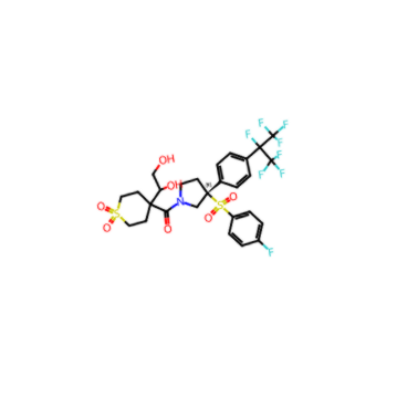 O=C(N1CC[C@](c2ccc(C(F)(C(F)(F)F)C(F)(F)F)cc2)(S(=O)(=O)c2ccc(F)cc2)C1)C1(C(O)CO)CCS(=O)(=O)CC1